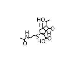 CC(=O)NCCSC1=C(C(=O)O)[C@@H]2C(=O)C(C(C)O)[C@H]2C1